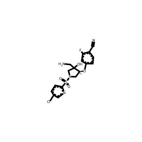 N#Cc1ccc(O[C@H]2CN(S(=O)(=O)c3ccc(Cl)cn3)CC2(O)CN)cc1F